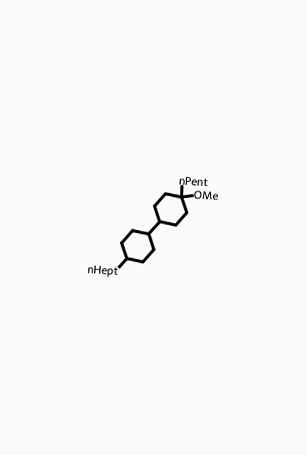 CCCCCCCC1CCC(C2CCC(CCCCC)(OC)CC2)CC1